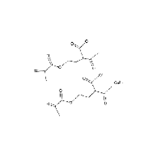 C=C(C)C(=O)OCCC(C(C)=O)C(=O)[O-].C=C(C)C(=O)OCCC(C(C)=O)C(=O)[O-].[Cu+2]